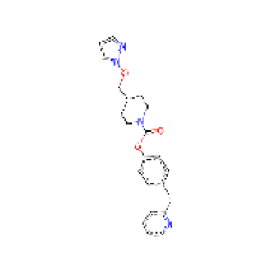 O=C(Oc1ccc(Cc2ccccn2)cc1)N1CCC(COn2cccn2)CC1